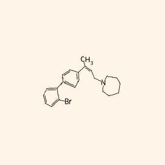 CC(=CCN1CCCCCC1)c1ccc(-c2ccccc2Br)cc1